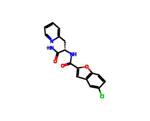 [NH]C(=O)[C@H](Cc1ccccn1)NC(=O)c1cc2cc(Cl)ccc2o1